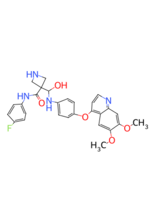 COc1cc2nccc(Oc3ccc(NC(O)C4(C(=O)Nc5ccc(F)cc5)CNC4)cc3)c2cc1OC